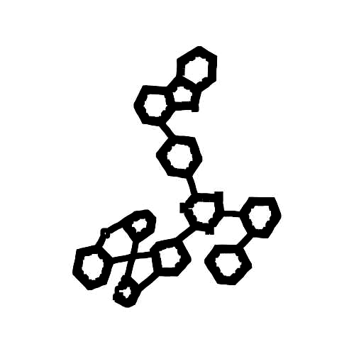 c1ccc(-c2ccccc2-c2nc(-c3ccc(-c4cccc5c4sc4ccccc45)cc3)nc(-c3ccc4c(c3)C3(c5ccccc5Oc5ccccc53)c3ccccc3-4)n2)cc1